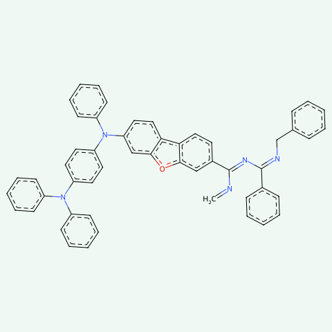 C=N/C(=N\C(=N/Cc1ccccc1)c1ccccc1)c1ccc2c(c1)oc1cc(N(c3ccccc3)c3ccc(N(c4ccccc4)c4ccccc4)cc3)ccc12